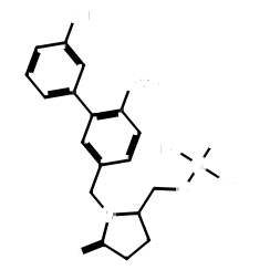 COc1ccc(CN2C(=O)CCC2CO[Si](C)(C)C(C)(C)C)cc1-c1cccc(C)c1